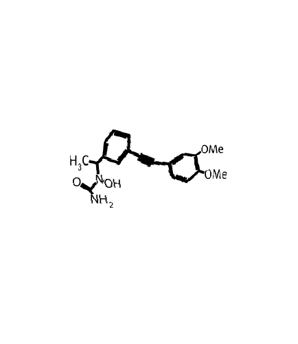 COc1ccc(C#Cc2cccc(C(C)N(O)C(N)=O)c2)cc1OC